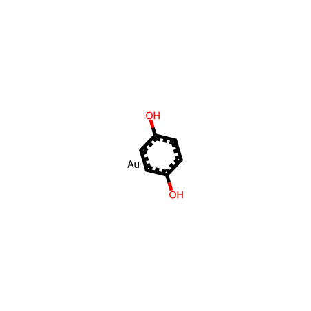 Oc1ccc(O)cc1.[Au]